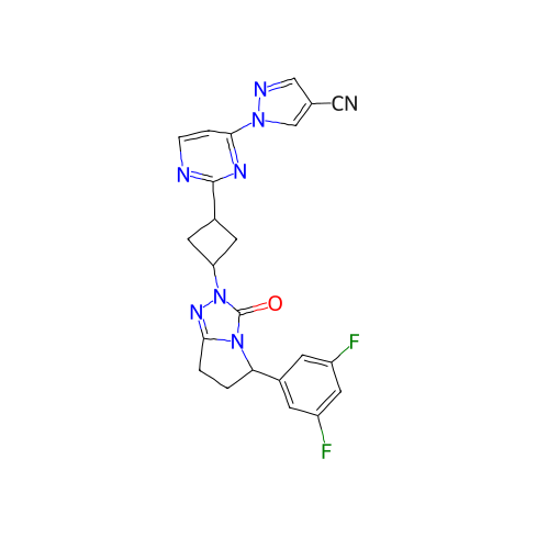 N#Cc1cnn(-c2ccnc(C3CC(n4nc5n(c4=O)C(c4cc(F)cc(F)c4)CC5)C3)n2)c1